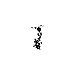 COc1ccc(N2CCN(CCCn3c4c(n[n+]3C)C(=O)c3ccccc3C4=O)CC2)cc1OC